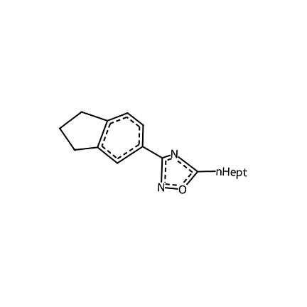 CCCCCCCc1nc(-c2ccc3c(c2)CCC3)no1